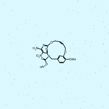 CCCOC(=O)N1Cc2ccc(OC)c(c2)OC/C=C\COc2nc(N)c([N+](=O)[O-])c1n2